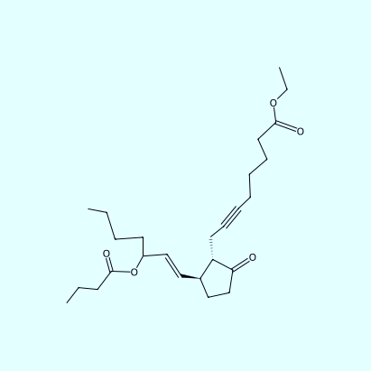 CCCCC(C=C[C@@H]1CCC(=O)[C@H]1CC#CCCCCC(=O)OCC)OC(=O)CCC